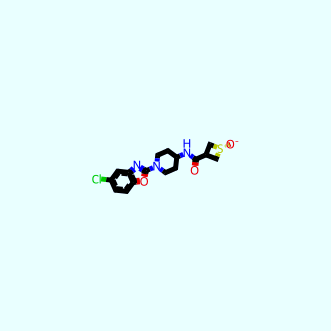 O=C(NC1CCN(c2nc3cc(Cl)ccc3o2)CC1)C1C[S+]([O-])C1